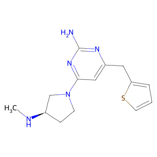 CN[C@@H]1CCN(c2cc(Cc3cccs3)nc(N)n2)C1